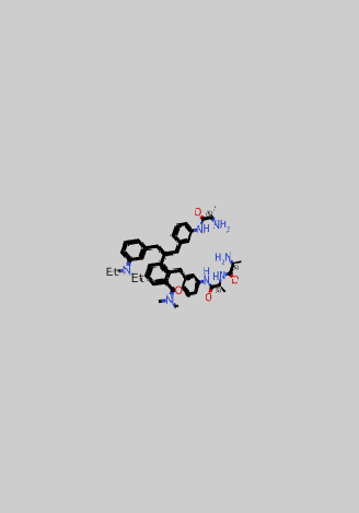 CCN(CC)c1cccc(C[C](Cc2cccc(NC(=O)[C@H](C)N)c2)c2cccc(C(=O)N(C)C)c2Cc2cccc(NC(=O)[C@H](C)NC(=O)[C@H](C)N)c2)c1